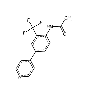 CC(=O)Nc1ccc(-c2ccncc2)cc1C(F)(F)F